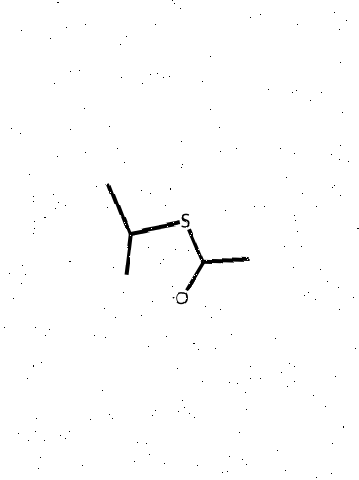 CC(C)SC(C)[O]